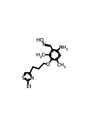 CCc1nc(CCCOc2c(C)cc(N)c(C=NO)c2C)cs1